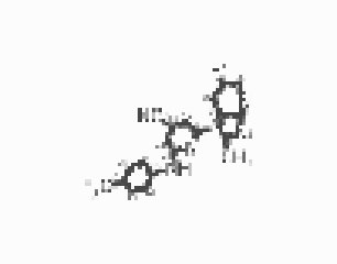 Cc1nc2ncc(F)cc2n1-c1cc(C#N)cc(Nc2ccc(C(F)(F)F)cc2)n1